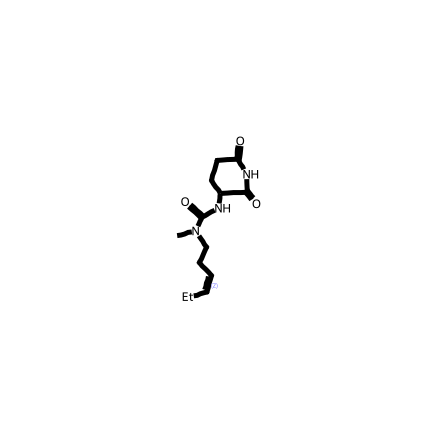 CC/C=C\CCN(C)C(=O)NC1CCC(=O)NC1=O